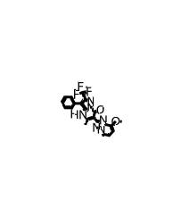 COc1cccn2nc(-c3c(C)[nH]c4c(-c5ccccc5)c(C(F)(F)F)nn4c3=O)nc12